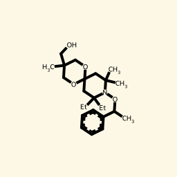 CCC1(CC)CC2(CC(C)(C)N1OC(C)c1ccccc1)OCC(C)(CO)CO2